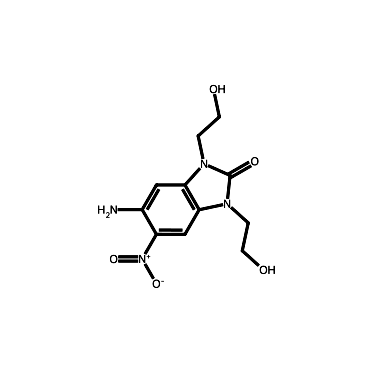 Nc1cc2c(cc1[N+](=O)[O-])n(CCO)c(=O)n2CCO